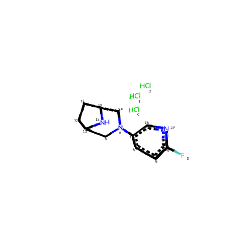 Cl.Cl.Cl.Fc1ccc(N2CC3CCC(C2)N3)cn1